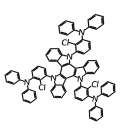 Clc1c(N(c2ccccc2)c2ccccc2)cccc1-n1c2ccccc2c2c1c1c3ccccc3n(-c3cccc(N(c4ccccc4)c4ccccc4)c3Cl)c1c1c3ccccc3n(-c3cccc(N(c4ccccc4)c4ccccc4)c3Cl)c21